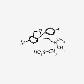 CN(C)CCC[C@@]1(c2ccc(F)cc2)OCc2cc(C#N)ccc21.CS(=O)(=O)O